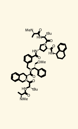 CN[C@@H](C)C(=O)N[C@H](C(=O)N1C[C@@H](NC(=O)c2cccc(CN(C(=O)[C@@H]3Cc4ccccc4CN3C(=O)[C@@H](NC(=O)[C@H](C)NC)C(C)(C)C)[C@H](COC)c3ccccc3)c2)C[C@H]1C(=O)N[C@@H]1CCCc2ccccc21)C(C)(C)C